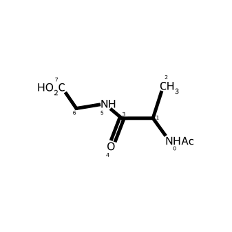 CC(=O)NC(C)C(=O)NCC(=O)O